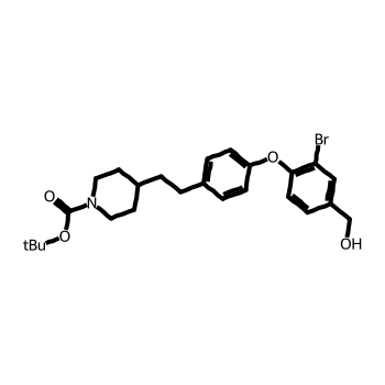 CC(C)(C)OC(=O)N1CCC(CCc2ccc(Oc3ccc(CO)cc3Br)cc2)CC1